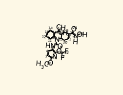 COc1ccc(NC(=O)N(c2ccccc2C(C)C)C2CCC(C(=O)NO)CC2)c(OC(F)F)n1